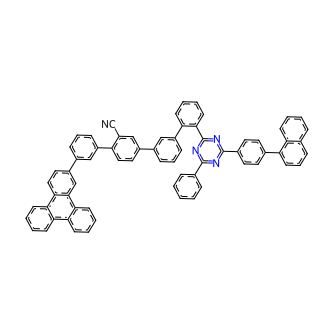 N#Cc1cc(-c2cccc(-c3ccccc3-c3nc(-c4ccccc4)nc(-c4ccc(-c5cccc6ccccc56)cc4)n3)c2)ccc1-c1cccc(-c2ccc3c4ccccc4c4ccccc4c3c2)c1